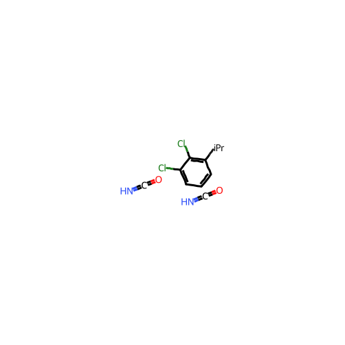 CC(C)c1cccc(Cl)c1Cl.N=C=O.N=C=O